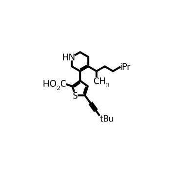 CC(C)CCC(C)C1=C(c2cc(C#CC(C)(C)C)sc2C(=O)O)CNCC1